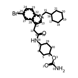 NC(=O)OC1CCC(NC(=O)Cc2cn(CC3CCCCC3)c3ccc(Br)cc23)CC1